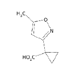 Cc1cc(C2(C(=O)O)CC2)no1